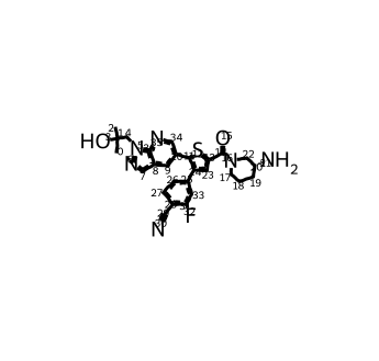 CC(C)(O)Cn1ncc2cc(-c3sc(C(=O)N4CCC[C@@H](N)C4)cc3-c3ccc(C#N)c(F)c3)cnc21